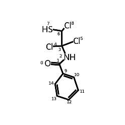 O=C(NC(Cl)(Cl)C(S)Cl)c1ccccc1